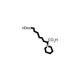 CCCCCCCCCCCCCCCCC(C(=O)O)N1CCCCC1